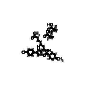 CC(=O)CCCCCC(NC(=O)C1CCN(C)CC1)c1ncc(-c2ccc(Cl)cc2)[nH]1.O=C(O)C(F)(F)F.O=C(O)C(F)(F)F